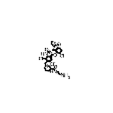 CCS(=O)(=O)c1ccc(Cl)cc1Cn1c(=O)[nH]c2c(Cl)c(CN3CCCC(C(=O)NCCN)C3)c(C(F)(F)F)cc2c1=O